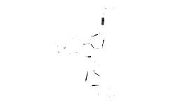 CC(C)(C)NS(=O)(=O)c1cccc(NC(=O)c2ccc(C#CCO)cc2N2CCC3(CC2)CC3)c1